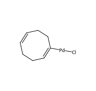 [Cl][Pd][C]1=CCCC=CCC1